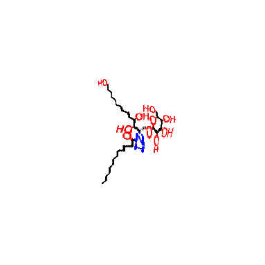 CCCCCCCCCCCCC(=O)N[C@@H](CO[C@H]1OC(CO)[C@H](O)C(O)[C@H]1O)[C@H](O)[C@H](O)CCCCCCCCCCO